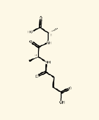 C[C@H](NC(=O)[C@H](C)NC(=O)CCC(=O)O)C(=O)O